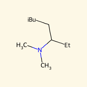 [CH2]C(CC)CC(CC)N(C)C